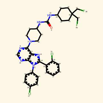 O=C(NC1CCN(c2ncnc3c2nc(-c2ccccc2Cl)n3-c2ccc(Cl)cc2)CC1)NC1CCC(CF)(CF)CC1